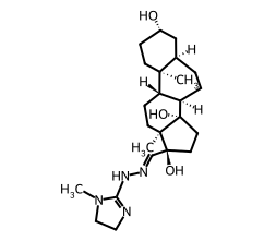 CN1CCN=C1N/N=C/[C@@]1(O)CC[C@]2(O)[C@@H]3CC[C@@H]4C[C@@H](O)CC[C@]4(C)[C@H]3CC[C@]12C